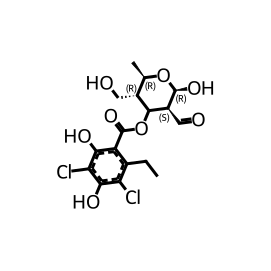 CCc1c(Cl)c(O)c(Cl)c(O)c1C(=O)OC1[C@H](C=O)[C@H](O)O[C@H](C)[C@H]1CO